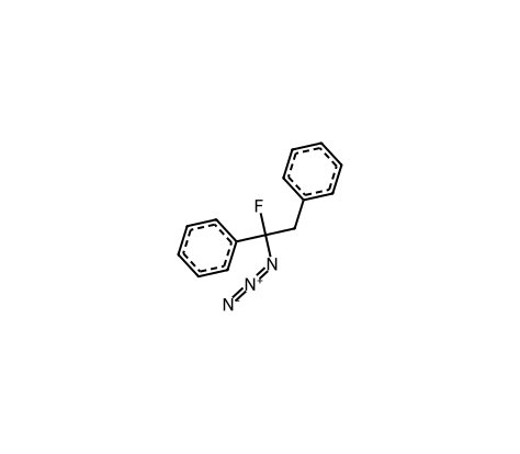 [N-]=[N+]=NC(F)(Cc1ccccc1)c1ccccc1